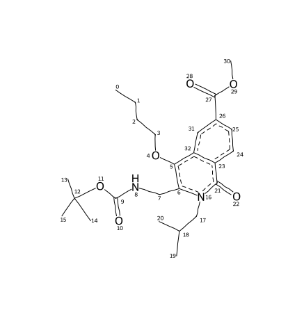 CCCCOc1c(CNC(=O)OC(C)(C)C)n(CC(C)C)c(=O)c2ccc(C(=O)OC)cc12